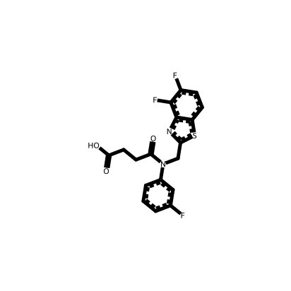 O=C(O)CCC(=O)N(Cc1nc2c(F)c(F)ccc2s1)c1cccc(F)c1